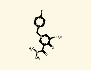 CN(C)C(=O)c1cn(Cc2ccc(F)cc2)cc(C(=O)O)c1=O